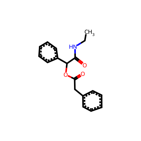 CCNC(=O)C(OC(=O)Cc1ccccc1)c1ccccc1